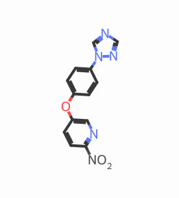 O=[N+]([O-])c1ccc(Oc2ccc(-n3cncn3)cc2)cn1